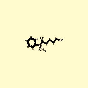 CN(C(=O)CCCCBr)c1ccccc1